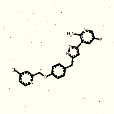 Nc1ncc(F)cc1-c1cc(Cc2ccc(OCc3cc(Cl)ccn3)cc2)no1